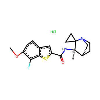 COc1ccc2cc(C(=O)N[C@@H]3C4CCN(CC4)C34CC4)sc2c1F.Cl